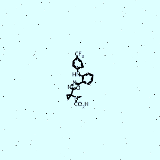 CN(C(=O)O)C1(c2nnc(-c3ccccc3Nc3ccc(C(F)(F)F)cc3)o2)CC1